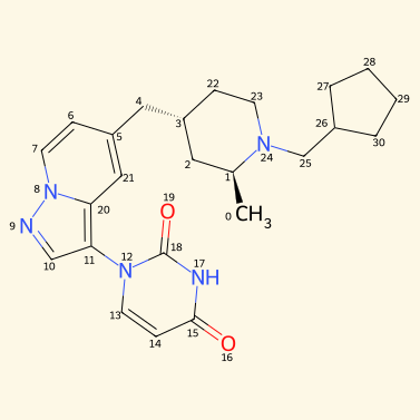 C[C@H]1C[C@H](Cc2ccn3ncc(-n4ccc(=O)[nH]c4=O)c3c2)CCN1CC1CCCC1